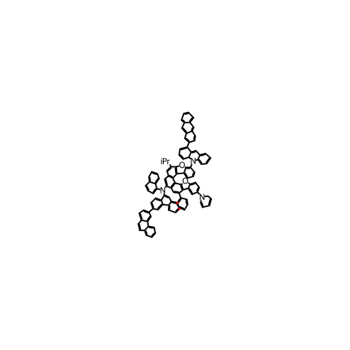 CC(C)c1cc2cc(N(c3cccc4ccccc34)c3cc4ccccc4c4cc(-c5ccc6ccc7ccccc7c6c5)ccc34)c3cc(-c4ccccc4)c4c5cc(N6C=CC=CC6)ccc5oc4c3c2c2c1oc1c(N3c4ccccc4C=C4C(c5ccc6cc7ccccc7cc6c5)=CC=CC43)cccc12